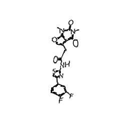 Cn1c(=O)c2c(CC(=O)Nc3nc(-c4ccc(F)c(F)c4)cs3)coc2n(C)c1=O